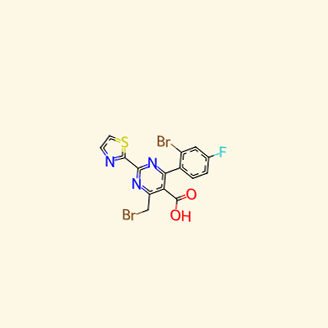 O=C(O)c1c(CBr)nc(-c2nccs2)nc1-c1ccc(F)cc1Br